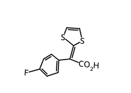 O=C(O)C(=C1SC=CS1)c1ccc(F)cc1